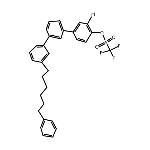 O=S(=O)(Oc1ccc(-c2cccc(-c3cccc(CCCCCCc4ccccc4)c3)c2)cc1Cl)C(F)(F)F